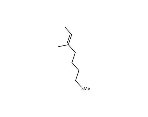 [CH2]SCCCC/C(C)=C/C